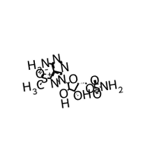 C[S@@+]([O-])c1nn([C@@H]2O[C@H](COS(N)(=O)=O)[C@H](O)[C@H]2O)c2ncnc(N)c12